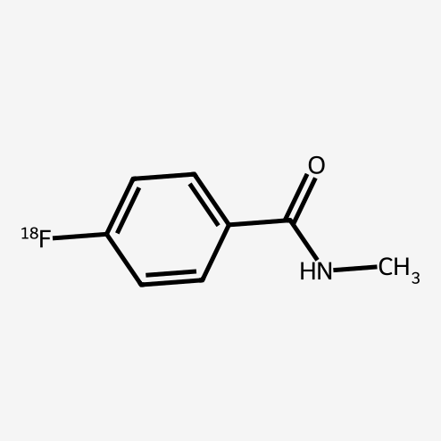 CNC(=O)c1ccc([18F])cc1